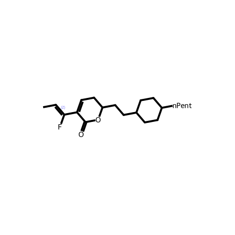 C/C=C(\F)C1=CCC(CCC2CCC(CCCCC)CC2)OC1=O